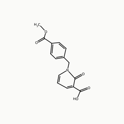 COC(=O)c1ccc(Cn2cccc(C(=O)O)c2=O)cc1